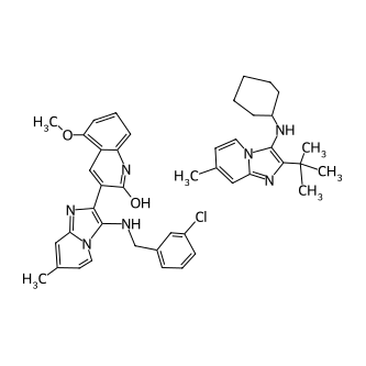 COc1cccc2nc(O)c(-c3nc4cc(C)ccn4c3NCc3cccc(Cl)c3)cc12.Cc1ccn2c(NC3CCCCC3)c(C(C)(C)C)nc2c1